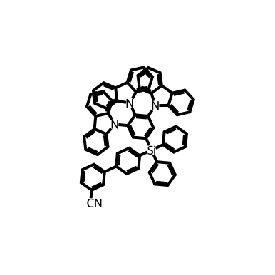 N#Cc1cccc(-c2ccc([Si](c3ccccc3)(c3ccccc3)c3cc(-n4c5ccccc5c5ccccc54)c(-n4c5ccccc5c5ccccc54)c(-n4c5ccccc5c5ccccc54)c3)cc2)c1